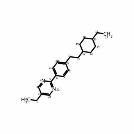 CCc1cnc(-c2ccc(CCC3CCC(CC)CC3)cc2)nc1